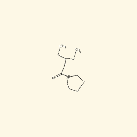 CCC(CC)C(=O)N1CCCC1